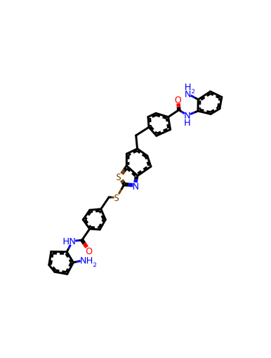 Nc1ccccc1NC(=O)c1ccc(CSc2nc3ccc(Cc4ccc(C(=O)Nc5ccccc5N)cc4)cc3s2)cc1